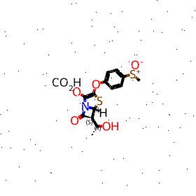 C[C@@H](O)[C@H]1C(=O)N2C(OC(=O)O)=C(Oc3ccc([S+](C)[O-])cc3)S[C@H]12